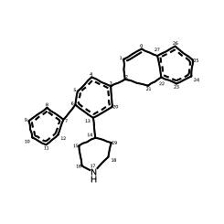 C1=CC(c2ccc(-c3ccccc3)c(C3CCNCC3)c2)Cc2ccccc21